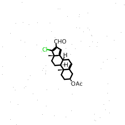 CC(=O)O[C@H]1CC[C@@]2(C)C(=CC[C@H]3C4=CC(C=O)=C(Cl)[C@@]4(C)CC[C@@H]32)C1